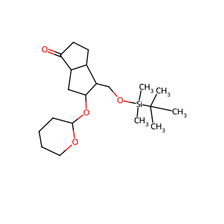 CC(C)(C)[Si](C)(C)OCC1C(OC2CCCCO2)CC2C(=O)CCC21